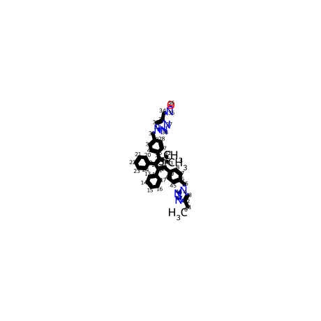 CCc1cn(Cc2ccc(C3=C(c4ccccc4)C(c4ccccc4)=C(c4ccc(Cn5cc(CN=O)nn5)cc4)[Si]3(C)C)cc2)nn1